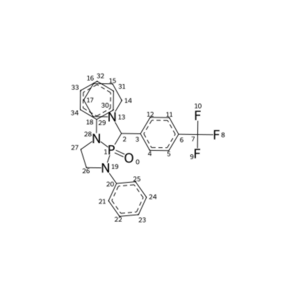 O=P1(C(c2ccc(C(F)(F)F)cc2)N2CCCCC2)N(c2ccccc2)CCN1c1ccccc1